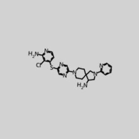 Nc1nccc(Sc2cnc(N3CCC4(CC3)CN(c3ccccn3)CC4N)cn2)c1Cl